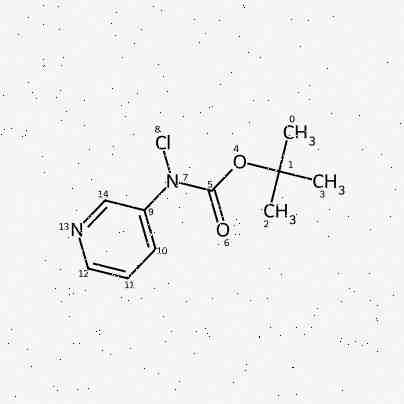 CC(C)(C)OC(=O)N(Cl)c1cccnc1